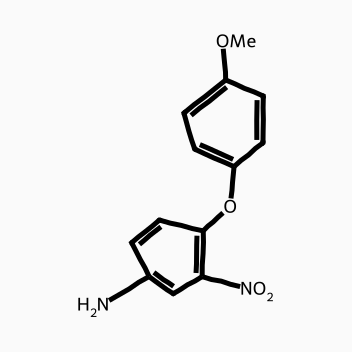 COc1ccc(Oc2ccc(N)cc2[N+](=O)[O-])cc1